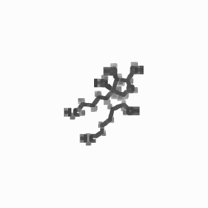 CCCCCC(O)[C@H]1OC(O)[C@H](O)[C@@]1(O)CCCCC